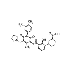 CC1=C(CN2CCCC2)C(=O)N(c2ccc(C)c(C)c2)C(=O)C1=NNc1cccc(C2CCCC(C(=O)O)C2)c1O